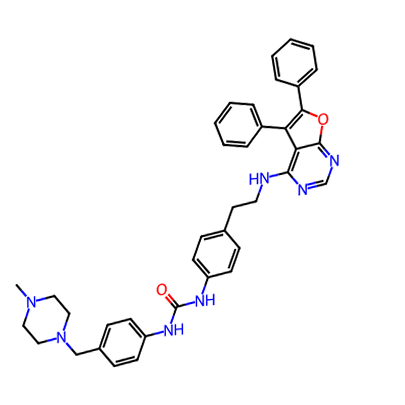 CN1CCN(Cc2ccc(NC(=O)Nc3ccc(CCNc4ncnc5oc(-c6ccccc6)c(-c6ccccc6)c45)cc3)cc2)CC1